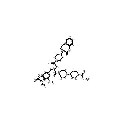 Cc1cc(C[C@@H](OC(=O)N2CCC(N3CCc4ccccc4NC3=O)CC2)C(=O)N2CCN(C3CCN(C(=O)C(=O)O)CC3)CC2)cc2oc(=O)n(C)c12